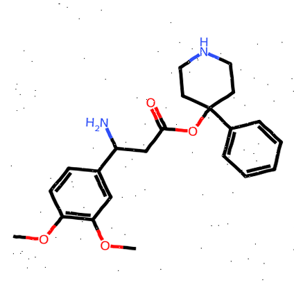 COc1ccc(C(N)CC(=O)OC2(c3ccccc3)CCNCC2)cc1OC